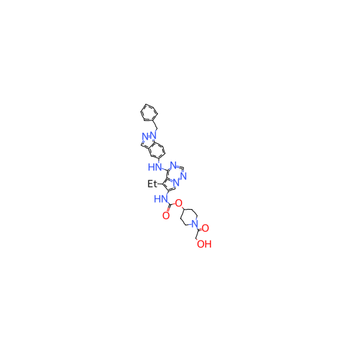 CCc1c(NC(=O)OC2CCN(C(=O)CO)CC2)cn2ncnc(Nc3ccc4c(cnn4Cc4ccccc4)c3)c12